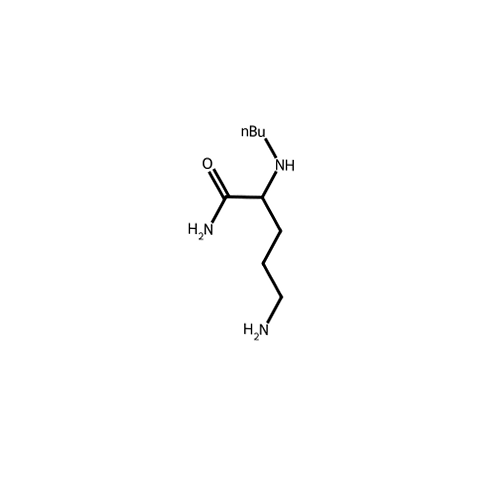 CCCCNC(CCCN)C(N)=O